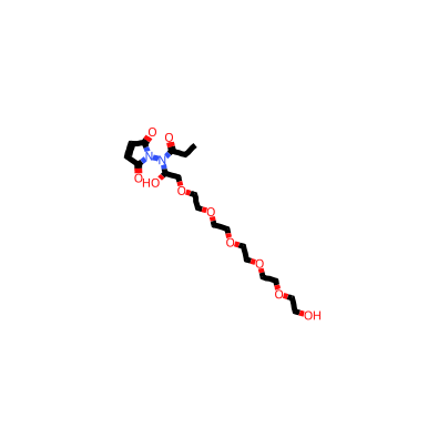 CCC(=O)N(C(O)COCCOCCOCCOCCOCCO)N1C(=O)C=CC1=O